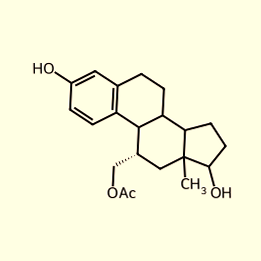 CC(=O)OC[C@H]1CC2(C)C(O)CCC2C2CCc3cc(O)ccc3C21